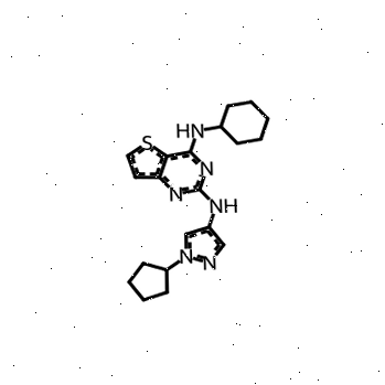 c1cc2nc(Nc3cnn(C4CCCC4)c3)nc(NC3CCCCC3)c2s1